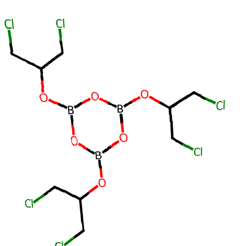 ClCC(CCl)OB1OB(OC(CCl)CCl)OB(OC(CCl)CCl)O1